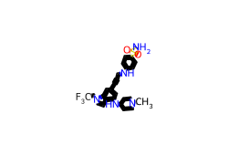 CN1CCC(Nc2cc(C#CCNc3ccc(S(N)(=O)=O)cc3)cc3c2ccn3CC(F)(F)F)CC1